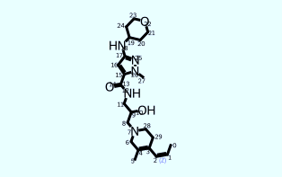 C/C=C\C1=C(C)CN(CC(O)CNC(=O)c2cc(NC3CCOCC3)nn2C)CC1